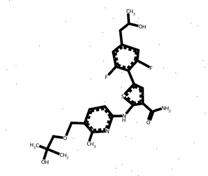 Cc1nc(Nc2sc(-c3c(F)cc(CC(C)O)cc3F)cc2C(N)=O)ccc1COCC(C)(C)O